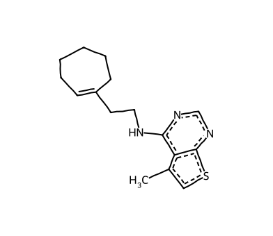 Cc1csc2ncnc(NCCC3=CCCCCC3)c12